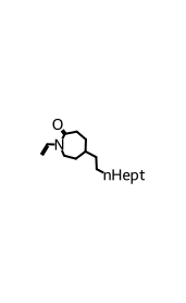 C=CN1CCC(CCCCCCCCC)CCC1=O